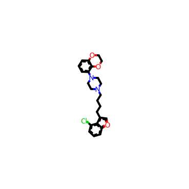 Clc1cccc2occ(CCCCN3CCN(c4cccc5c4OCCO5)CC3)c12